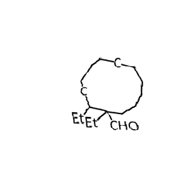 CCC1CCCCCCCCCCC1(C=O)CC